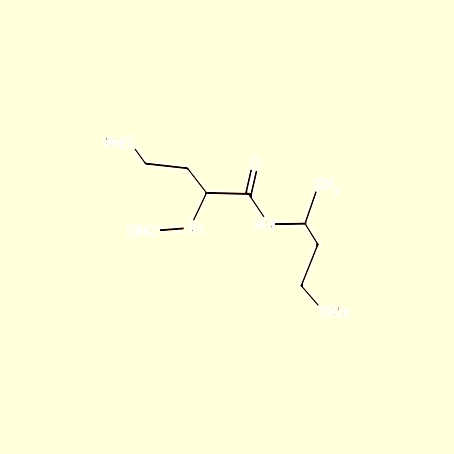 CSCCC(C)NC(=O)C(CCSC)NC=O